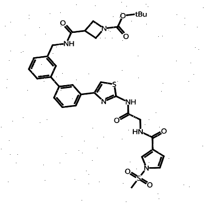 CC(C)(C)OC(=O)N1CC(C(=O)NCc2cccc(-c3cccc(-c4csc(NC(=O)CNC(=O)c5ccn(S(C)(=O)=O)c5)n4)c3)c2)C1